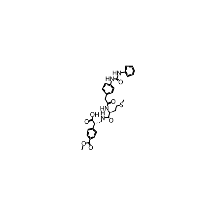 COC(=O)c1ccc([C@@H](CNC(=O)[C@H](CCSC)NC(=O)Cc2ccc(NC(=O)Nc3ccccc3)cc2)C(=O)O)cc1